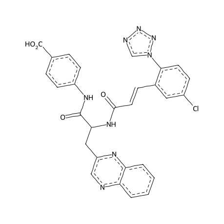 O=C(/C=C/c1cc(Cl)ccc1-n1cnnn1)NC(Cc1cnc2ccccc2n1)C(=O)Nc1ccc(C(=O)O)cc1